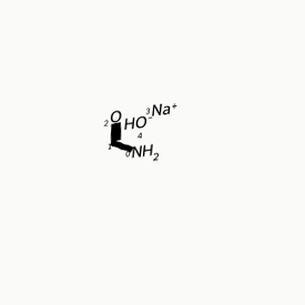 NC=O.[Na+].[OH-]